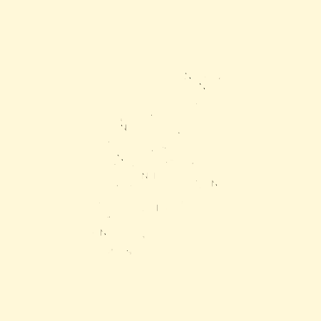 CN(C)C(=O)COc1cc(-c2cnn(C)c2)cc2ncnc(Nc3ccc4ncccc4c3F)c12